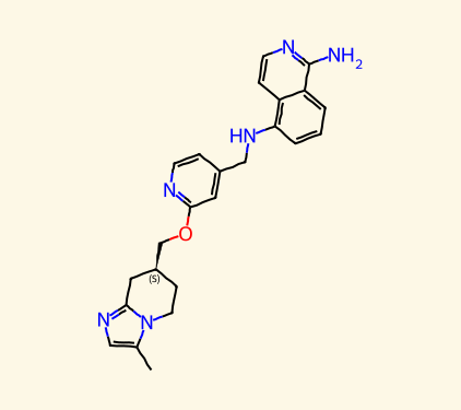 Cc1cnc2n1CC[C@H](COc1cc(CNc3cccc4c(N)nccc34)ccn1)C2